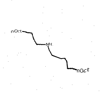 CCCCCCCCCCCNCCCCCCCCCC